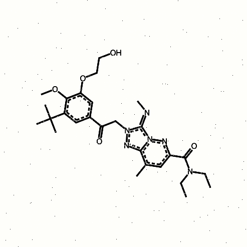 CCN(CC)C(=O)c1cc(C)c2nn(CC(=O)c3cc(OCCO)c(OC)c(C(C)(C)C)c3)/c(=N\C)n2n1